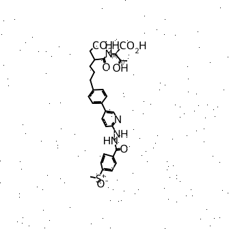 C[C@@H](O)[C@@H](NC(=O)C(CCCc1ccc(-c2ccc(NNC(=O)c3ccc([S+](C)[O-])cc3)nc2)cc1)CC(=O)O)C(=O)O